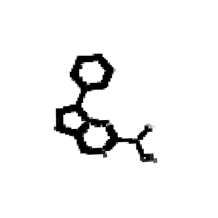 C[S+]([O-])c1ncc2ccc(-c3ccccc3)n2n1